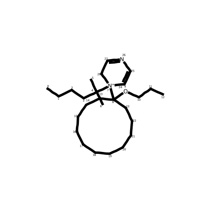 CCCCC(C)(C)[N+]1(C2(OCCC)CCCCCCCCCCC2)C=CN=CC1